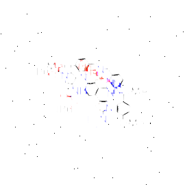 COc1ccc(CN(Cc2ccc(OC)cc2)S(=O)(=O)c2c(N([C@H]3CN(C(=O)OC(C)(C)C)C[C@@H]3NC(=O)OC(C)(C)C)[SH](=O)=O)ccc(-c3cnc(N)s3)c2-c2nnn(Cc3ccc(OC)cc3)n2)cc1